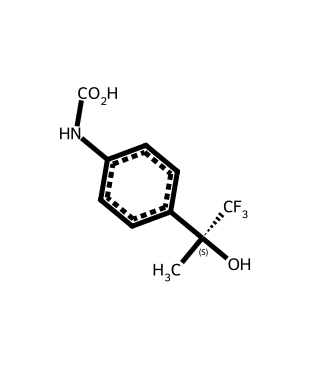 C[C@](O)(c1ccc(NC(=O)O)cc1)C(F)(F)F